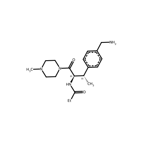 CCC(=O)N[C@@H](C(=O)N1CCN(C)CC1)[C@@H](C)c1ccc(CN)cc1